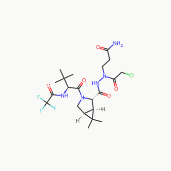 CC(C)(C)[C@H](NC(=O)C(F)(F)F)C(=O)N1C[C@H]2[C@@H]([C@H]1C(=O)NN(CCC(N)=O)C(=O)CCl)C2(C)C